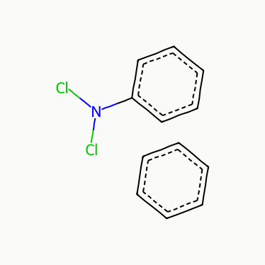 ClN(Cl)c1ccccc1.c1ccccc1